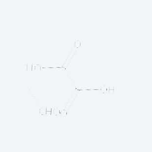 CC=O.O=C(O)C(=O)O